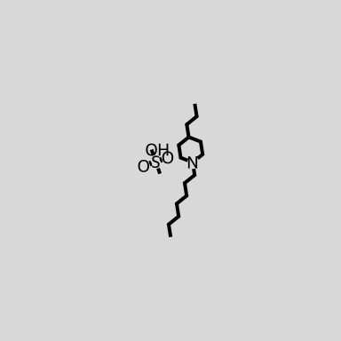 CCCCCCCN1CCC(CCC)CC1.CS(=O)(=O)O